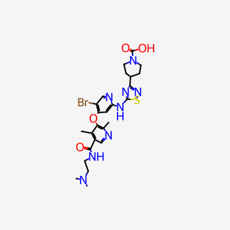 Cc1ncc(C(=O)NCCN(C)C)c(C)c1Oc1cc(Nc2nc(C3CCN(C(=O)O)CC3)ns2)ncc1Br